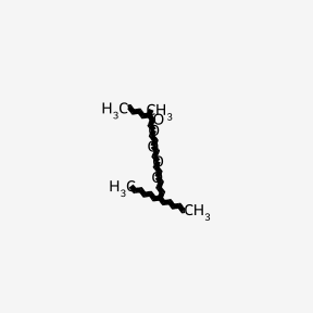 CCCCCCC(CCCCCC)CCCOCCOCCOCCOCC(=O)C(C)CCCCC